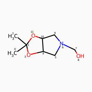 CC1(C)OC2CN(CO)CC2O1